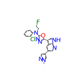 Cn1cc(-c2cnc3[nH]cc(-c4nnc(N(CCF)c5ccccc5Cl)o4)c3c2)cn1